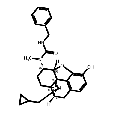 CN(C(=O)NCc1ccccc1)[C@H]1CC[C@@]2(O)[C@H]3Cc4ccc(O)c5c4[C@@]2(CCN3CC2CC2)[C@H]1O5